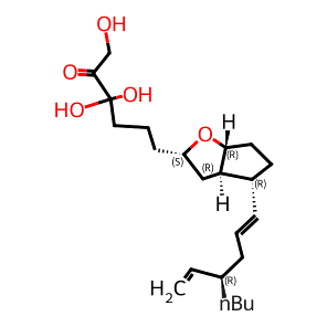 C=C[C@@H](CC=C[C@H]1CC[C@H]2O[C@@H](CCCC(O)(O)C(=O)CO)C[C@H]12)CCCC